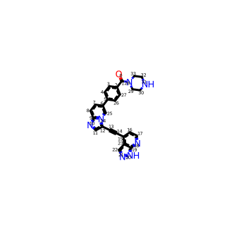 O=C(c1ccc(-c2ccc3ncc(C#Cc4ccnc5[nH]ncc45)n3c2)cc1)N1CCNCC1